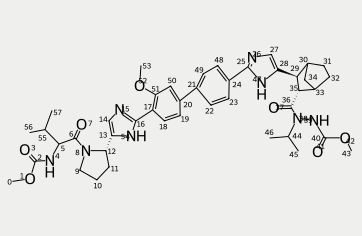 COC(=O)NC(C(=O)N1CCC[C@H]1c1cnc(-c2ccc(-c3ccc(-c4ncc([C@H]5C6CCC(C6)[C@@H]5C(=O)N(NC(=O)OC)C(C)C)[nH]4)cc3)cc2OC)[nH]1)C(C)C